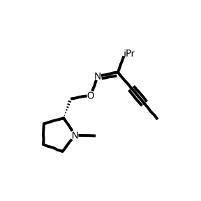 CC#C/C(=N\OC[C@H]1CCCN1C)C(C)C